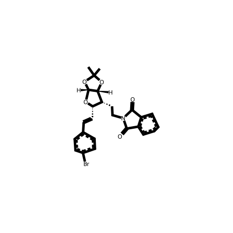 CC1(C)O[C@H]2O[C@@H](/C=C/c3ccc(Br)cc3)[C@@H](CCN3C(=O)c4ccccc4C3=O)[C@H]2O1